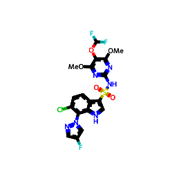 COc1nc(NS(=O)(=O)c2c[nH]c3c(-n4cc(F)cn4)c(Cl)ccc23)nc(OC)c1OC(F)F